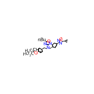 CCCCc1nc(N(CCc2ccc(OC(C)(C)C(=O)O)cc2)Cc2ccc(-c3noc(C4CC4)n3)cc2)no1